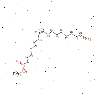 CCCOC(=O)CCCCCCC/C=C\CCCCCCCCS